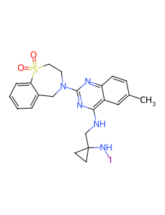 Cc1ccc2nc(N3CCS(=O)(=O)c4ccccc4C3)nc(NCC3(NI)CC3)c2c1